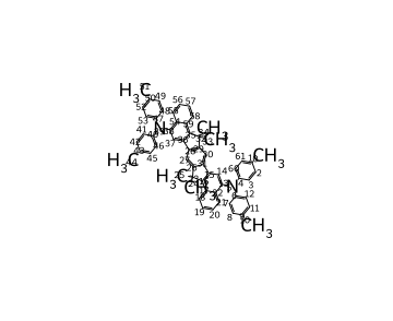 Cc1ccc(N(c2ccc(C)cc2)c2cc3c(c4ccccc24)C(C)(C)c2cc4c(cc2-3)C(C)(C)c2c-4cc(N(c3ccc(C)cc3)c3ccc(C)cc3)c3ccccc23)cc1